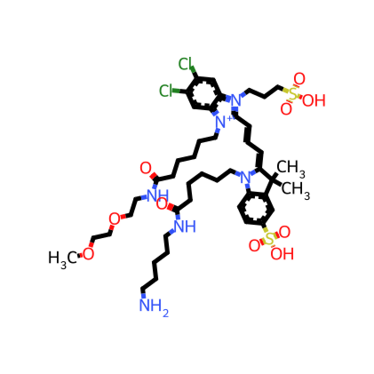 COCCOCCNC(=O)CCCCC[n+]1c(C=CC=C2N(CCCCCC(=O)NCCCCCN)c3ccc(S(=O)(=O)O)cc3C2(C)C)n(CCCS(=O)(=O)O)c2cc(Cl)c(Cl)cc21